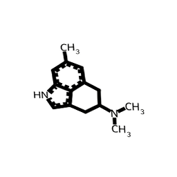 Cc1cc2c3c(c[nH]c3c1)CC(N(C)C)C2